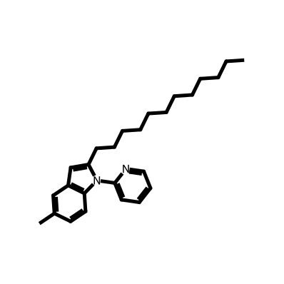 CCCCCCCCCCCCc1cc2cc(C)ccc2n1-c1ccccn1